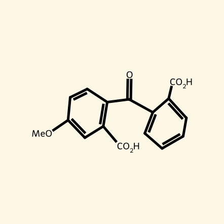 COc1ccc(C(=O)c2ccccc2C(=O)O)c(C(=O)O)c1